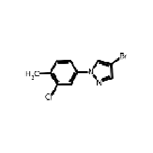 Cc1ccc(-n2cc(Br)cn2)cc1Cl